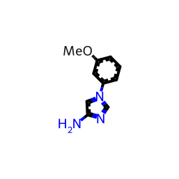 COc1cccc(-n2cnc(N)c2)c1